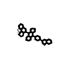 C1=c2sc3cccc4cc(-c5c6ccccc6c(-c6ccc(-c7ccc8ccccc8c7)cc6)c6ccccc56)c(c2c43)CC1